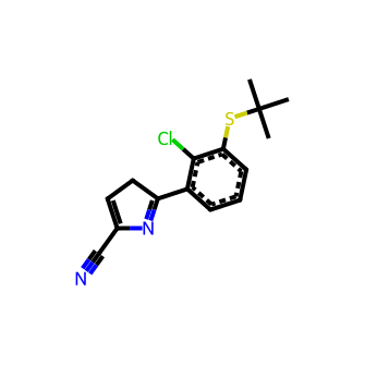 CC(C)(C)Sc1cccc(C2=NC(C#N)=CC2)c1Cl